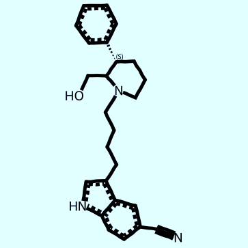 N#Cc1ccc2[nH]cc(CCCCN3CCC[C@@H](c4ccccc4)C3CO)c2c1